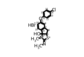 Br.CN=C1SC2Cc3cc(Oc4ccc(Cl)cc4)ccc3C2(O)N1C